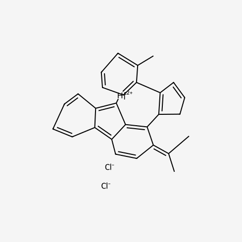 CC(C)=c1ccc2c(c1C1=C(c3ccccc3C)C=CC1)[C]([Hf+2])=c1ccccc1=2.[Cl-].[Cl-]